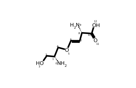 N[C@H](CO)CO/C=C/[C@H](N)C(=O)O